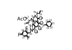 C=C[C@H](COC(C)=O)N1CN([C@@H](C)C=C)C(=O)c2c(OCc3ccccc3)c(=O)c(C(=O)NCc3c(F)cc(F)cc3F)cn21